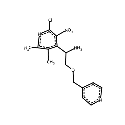 Cc1nc(Cl)c([N+](=O)[O-])c(C(N)COCc2ccncc2)c1C